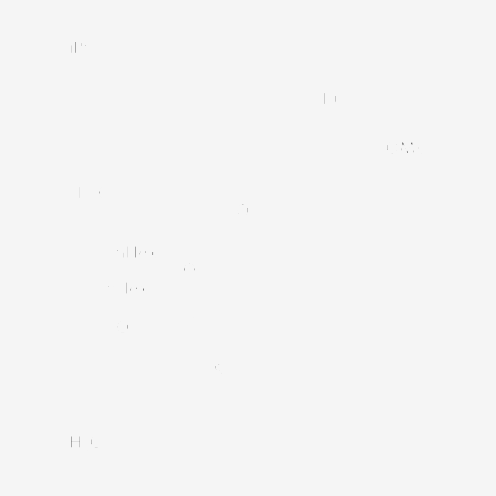 C/C=C/c1sc(C/C=C/c2cc(OC)c(CC)cc2OCCC(C)CCCC(C)C)c(OCCCCCC)c1OCCCCCC